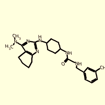 Cc1cccc(CNC(=O)NC2CCC(Nc3nc4c(c(N(C)C)n3)CCCC4)CC2)c1